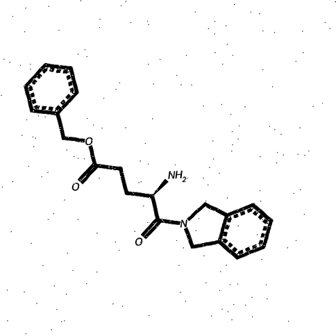 N[C@H](CCC(=O)OCc1ccccc1)C(=O)N1Cc2ccccc2C1